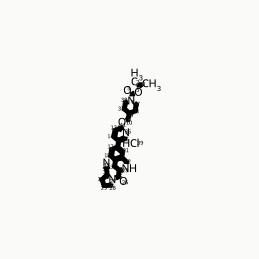 CC(C)OC(=O)N1CCC(COc2ccc(-c3ccc4c(c3)CNC(C(=O)N3CCCC3C#N)C4)cn2)CC1.Cl